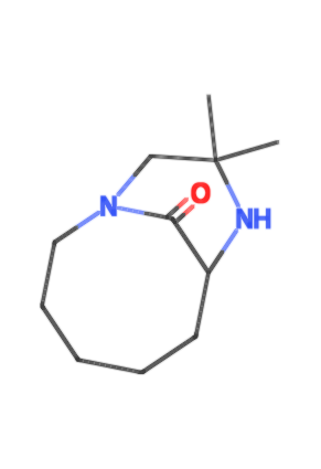 CC1(C)CN2CCCCCC(N1)C2=O